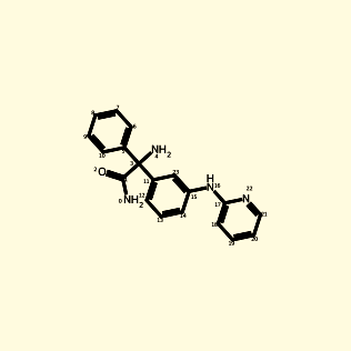 NC(=O)C(N)(c1ccccc1)c1cccc(Nc2ccccn2)c1